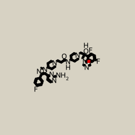 Nc1nccc(-c2c(-c3ccc(F)cc3)ncn2C2CCN(CCC(=O)NC3CCN(CC(O)(Cn4cncn4)c4ccc(F)cc4F)CC3)CC2)n1